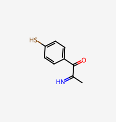 CC(=N)C(=O)c1ccc(S)cc1